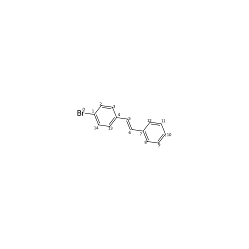 Brc1ccc(C=Cc2cc[c]cc2)cc1